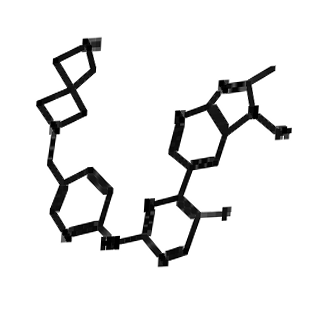 Cc1nc2ncc(-c3nc(Nc4ccc(CN5CC6(CNC6)C5)cn4)ncc3F)cc2n1C(C)C